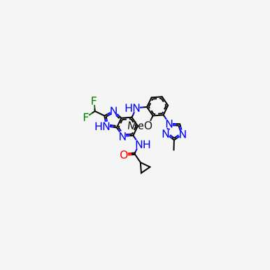 COc1c(Nc2cc(NC(=O)C3CC3)nc3[nH]c(C(F)F)nc23)cccc1-n1cnc(C)n1